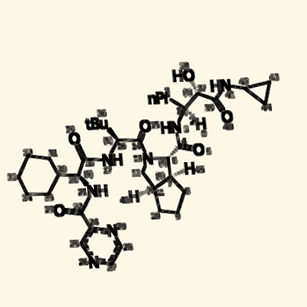 [2H][C@@](CCC)(NC(=O)[C@@H]1[C@H]2CCC[C@H]2CN1C(=O)[C@@H](NC(=O)[C@@H](NC(=O)c1cnccn1)C1CCCCC1)C(C)(C)C)[C@H](O)C(=O)NC1CC1